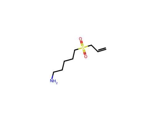 C=CCS(=O)(=O)CCCCCN